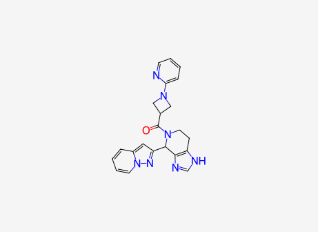 O=C(C1CN(c2ccccn2)C1)N1CCc2[nH]cnc2C1c1cc2ccccn2n1